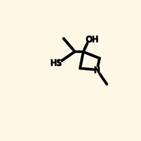 CC(S)C1(O)CN(C)C1